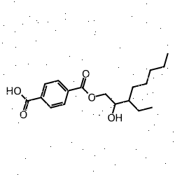 CCCCCC(CC)C(O)COC(=O)c1ccc(C(=O)O)cc1